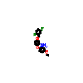 CCOc1ccc(Oc2ccc(OCc3cc(F)ccc3F)cc2)c(N)c1